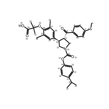 CSc1ccc(C(=O)[C@@H]2CN(C(=O)Oc3ccc(C(C)C)cc3)C[C@H]2c2cc(C)c(OC(C)(C)C(=O)O)c(C)c2)cc1